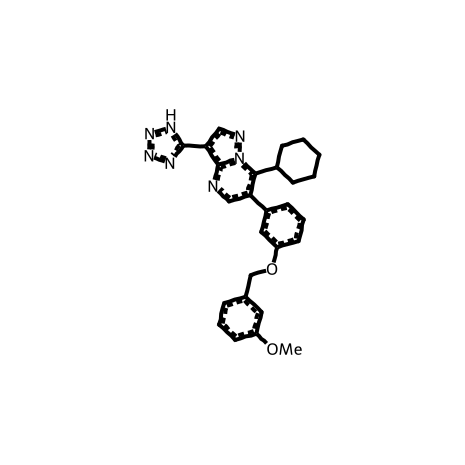 COc1cccc(COc2cccc(-c3cnc4c(-c5nnn[nH]5)cnn4c3C3CCCCC3)c2)c1